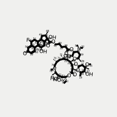 CC[C@H]1OC(=O)[C@H](C)[C@@H](O[C@@H]2C[C@](C)(OC)[C@H](O)C(C)O2)[C@H](C)[C@@H](O[C@@H]2O[C@H](C)C[C@@H](N(C)C)C2OC(=O)CCCCOC(=O)[C@@]2(O)[C@H](C)CC3C4C[C@H](F)C5=CC(=O)C=C[C@]5(C)[C@@]4(Cl)[C@@H](O)C[C@@]32C)[C@](C)(O)C[C@@H](C)CN(C)[C@H](C)[C@@H](O)[C@]1(C)O